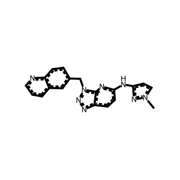 Cn1ccc(Nc2ccc3nnn(Cc4ccc5ncccc5c4)c3n2)n1